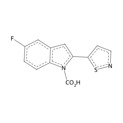 O=C(O)n1c(-c2ccns2)cc2cc(F)ccc21